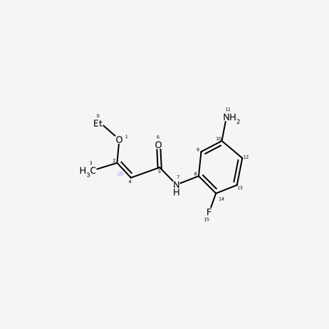 CCO/C(C)=C\C(=O)Nc1cc(N)ccc1F